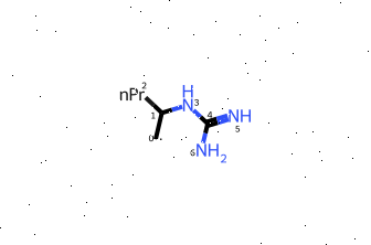 [CH2]C(CCC)NC(=N)N